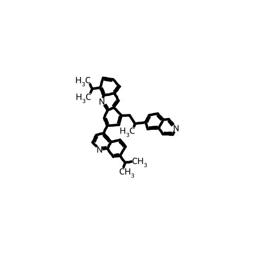 CC(C)c1ccc2c(-c3cc(CC(C)c4ccc5cnccc5c4)c4cc5cccc(C(C)C)c5nc4c3)ccnc2c1